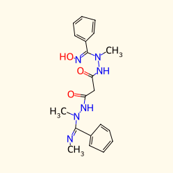 C/N=C(\c1ccccc1)N(C)NC(=O)CC(=O)NN(C)/C(=N/O)c1ccccc1